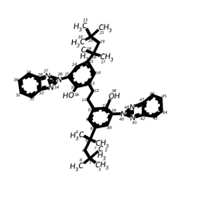 CC(C)(C)CC(C)(C)c1cc(CCc2cc(C(C)(C)CC(C)(C)C)cc(-n3n4c5ccccc5n34)c2O)c(O)c(-n2n3c4ccccc4n23)c1